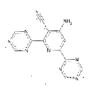 N#Cc1c(N)cc(-c2ncncn2)nc1-c1ncncn1